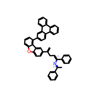 C=C(C/C=C(\N=C(/C)c1ccccc1)c1ccccc1)c1ccc2oc3cccc(-c4ccc5c6ccccc6c6ccccc6c5c4)c3c2c1